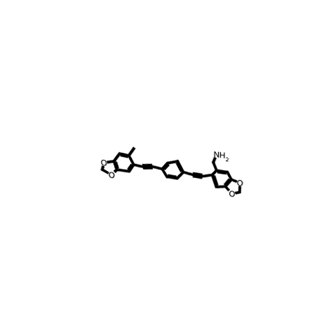 Cc1cc2c(cc1C#Cc1ccc(C#Cc3cc4c(cc3CN)OCO4)cc1)OCO2